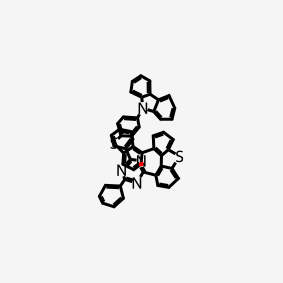 c1ccc(-c2nc(-c3ccccc3)nc(-c3cccc4sc5cccc(-c6cccc7sc8ccc(-n9c%10ccccc%10c%10ccccc%109)cc8c67)c5c34)n2)cc1